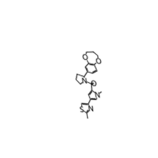 Cc1nc(-c2cc(C(=O)N3CCCC3c3ccc4c(c3)OCCCO4)n(C)c2)cs1